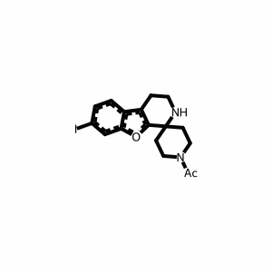 CC(=O)N1CCC2(CC1)NCCc1c2oc2cc(I)ccc12